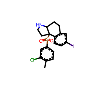 Cc1ccc(S(=O)(=O)C23CCNC2CCc2cc(I)ccc23)cc1Cl